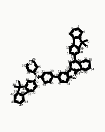 CC1(C)c2ccccc2-c2ccc(-c3cc4c5cc(-c6ccc(N(c7ccccc7)c7ccc8c(c7)C(C)(C)c7ccccc7-8)cc6)ccc5oc4c4ccccc34)cc21